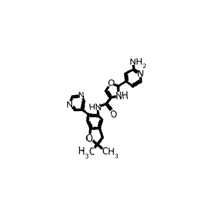 CC1(C)Cc2cc(NC(=O)C3=COC(c4ccnc(N)c4)N3)c(-c3cncnc3)cc2O1